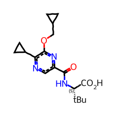 CC(C)(C)[C@H](NC(=O)c1cnc(C2CC2)c(OCC2CC2)n1)C(=O)O